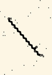 C=CCOC(=O)CCCCCCCCCCCCCCCCCO